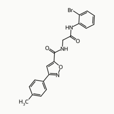 Cc1ccc(-c2cc(C(=O)NCC(=O)Nc3ccccc3Br)on2)cc1